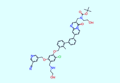 Cc1c(COc2cc(OCc3cncc(C#N)c3)c(CNCCO)cc2Cl)cccc1-c1cccc(-c2ccn3c(=O)c(CN(CCO)C(=O)OC(C)(C)C)cnc3c2)c1